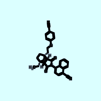 CC[C@]12CC[C@](CCOc3ccc(C#N)cc3)(O1)[C@H]1C(=O)N(c3ccc(C#N)c4ccccc34)C(=O)[C@@H]12